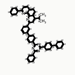 CC(C)c1cc(-c2cccc(-c3ccc(-c4nc(-c5ccccc5)nc(-c5ccc(-c6ccccc6)cc5)n4)cc3)c2)nc2c1ccc1ccc(-c3ccccc3)nc12